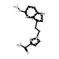 COc1ccc2[nH]cc(CCn3c[c]c(C(N)=O)n3)c2n1